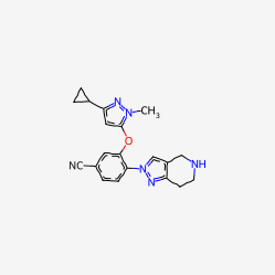 Cn1nc(C2CC2)cc1Oc1cc(C#N)ccc1-n1cc2c(n1)CCNC2